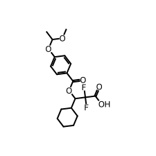 COC(C)Oc1ccc(C(=O)OC(C2CCCCC2)C(F)(F)C(=O)O)cc1